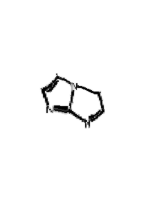 [c]1cnc2n1CC=N2